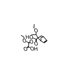 CCOC(=O)C(=O)O.CCOC(C)C1(C(=O)O)CC2C=CC1C2